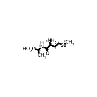 C[Se]CCC(N)C(=O)NC(C)C(=O)O